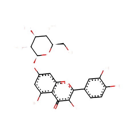 O=c1c(O)c(-c2ccc(O)c(O)c2)oc2cc(O[C@@H]3O[C@H](CO)[C@@H](O)[C@H](O)[C@H]3O)cc(O)c12